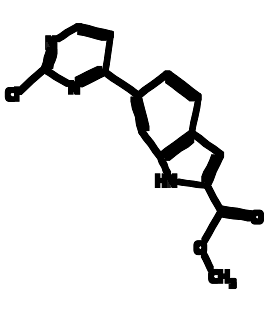 COC(=O)c1cc2ccc(-c3ccnc(Cl)n3)cc2[nH]1